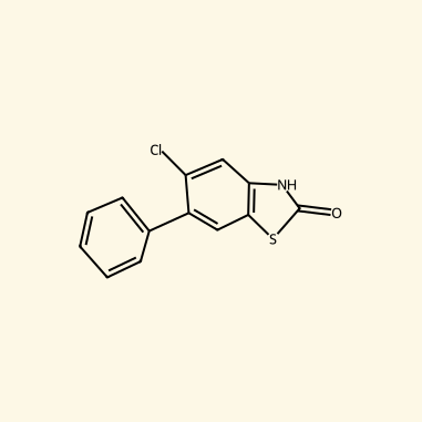 O=c1[nH]c2cc(Cl)c(-c3ccccc3)cc2s1